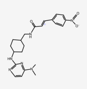 CN(C)c1ccnc(NC2CCC(CNC(=O)/C=C/c3ccc([N+](=O)[O-])cc3)CC2)n1